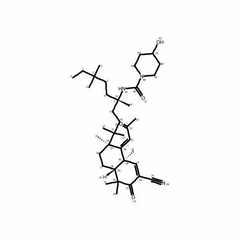 CCC(C)(C)CC[C@@](C)(CCC(C)(C)[C@]1(C)CC[C@H]2C(C)(C)C(=O)C(C#N)=C[C@]2(C)/C1=C/C(C)=O)NC(=O)N1CCC(O)CC1